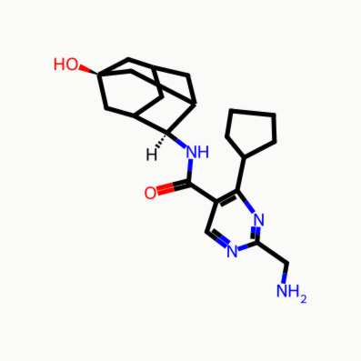 NCc1ncc(C(=O)N[C@H]2C3CC4CC2C[C@@](O)(C4)C3)c(C2CCCC2)n1